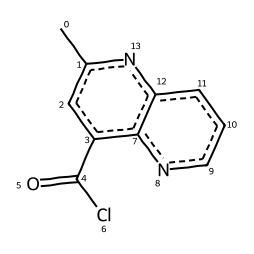 Cc1cc(C(=O)Cl)c2ncccc2n1